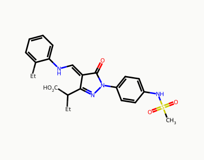 CCc1ccccc1NC=C1C(=O)N(c2ccc(NS(C)(=O)=O)cc2)N=C1C(CC)C(=O)O